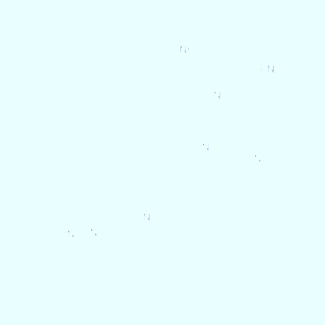 N#Cc1ccc2c(c1)c1cc(C#N)ccc1n2-c1ccc2c(c1)c1cc(-n3c4ccccc4c4ccccc43)ccc1n2-c1ccc(-c2ccc(-c3ccc(-c4cc(-c5ccccc5)nc(-c5ccccc5)n4)cc3C#N)cc2)cc1